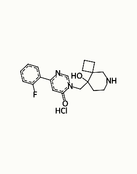 Cl.O=c1cc(-c2ccccc2F)ncn1CC1(O)CCNCC12CCC2